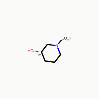 O=C(O)N1CCC[C@H](O)C1